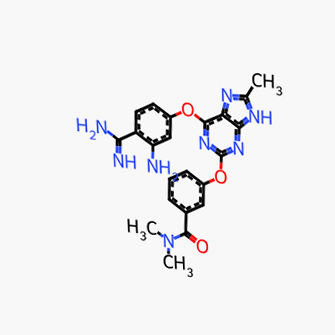 Cc1nc2c(Oc3ccc(C(=N)N)c(N)c3)nc(Oc3cccc(C(=O)N(C)C)c3)nc2[nH]1